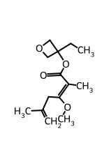 C=C(C)C/C(OC)=C(/C)C(=O)OC1(CC)COC1